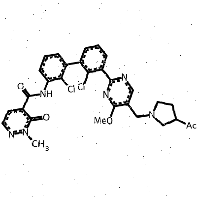 COc1nc(-c2cccc(-c3cccc(NC(=O)c4ccnn(C)c4=O)c3Cl)c2Cl)ncc1CN1CCC(C(C)=O)C1